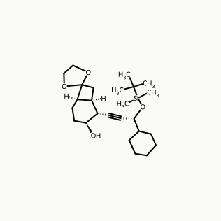 CC(C)(C)[Si](C)(C)O[C@@H](C#C[C@H]1[C@@H]2CC3(OCCO3)[C@@H]2CC[C@@H]1O)C1CCCCC1